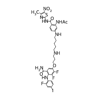 CC(=O)Nc1cc(NCCCCCNCCCOc2cc(C(N)=O)c(Nc3ccc(I)cc3F)c(F)c2F)ccc1C(=O)Nc1nc(C)c([N+](=O)[O-])s1